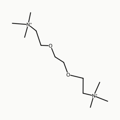 C[N+](C)(C)CCOCCOCC[N+](C)(C)C